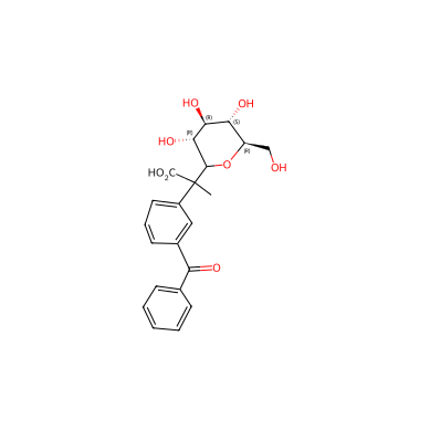 CC(C(=O)O)(c1cccc(C(=O)c2ccccc2)c1)C1O[C@H](CO)[C@@H](O)[C@H](O)[C@H]1O